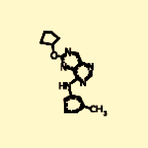 Cc1cccc(Nc2ncnc3cnc(OC4CCCC4)nc23)c1